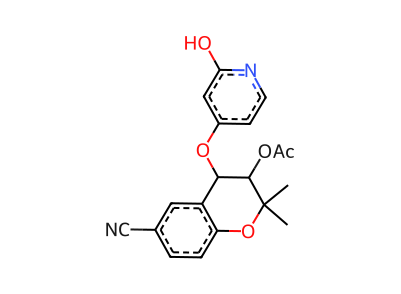 CC(=O)OC1C(Oc2ccnc(O)c2)c2cc(C#N)ccc2OC1(C)C